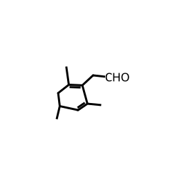 CC1=CC(C)CC(C)=C1CC=O